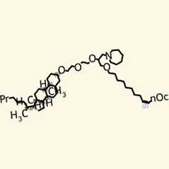 CCCCCCCC/C=C\CCCCCCCCOCC(CN1CCCCCC1)OCCOCCO[C@H]1CC[C@@]2(C)C(=CC[C@H]3[C@@H]4CC[C@H]([C@H](C)CCCC(C)C)[C@@]4(C)CC[C@@H]32)C1